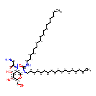 CCCCCCCCCCCCCCCCCCNC(=O)N(CCCCCCCCCCCCCCCCCC)[C@@H]1O[C@H](CO)[C@H](O)[C@H](O)[C@H]1NC(=O)CN